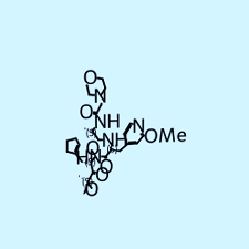 COc1cc(C[C@H](NC(=O)[C@H](C)NC(=O)CN2CCOCC2)C(=O)N[C@@H](CC2=CCCC2)C(=O)[C@]2(C)CO2)ccn1